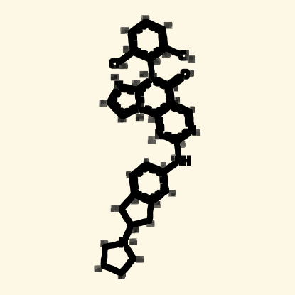 O=c1c2cnc(Nc3ccc4c(c3)CC(N3CCCC3)C4)nc2n2ccnc2n1-c1c(Cl)cccc1Cl